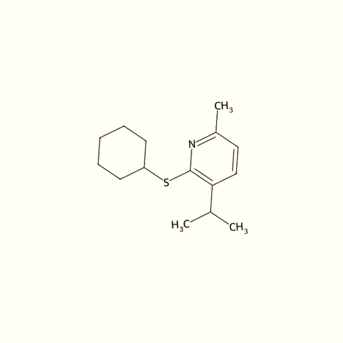 Cc1ccc(C(C)C)c(SC2CCCCC2)n1